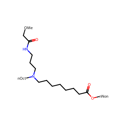 CCCCCCCCCOC(=O)CCCCCCCN(CCCCCCCC)CCCNC(=O)COC